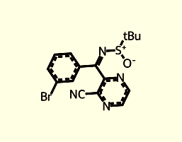 CC(C)(C)[S+]([O-])N=C(c1cccc(Br)c1)c1nccnc1C#N